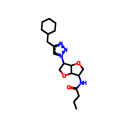 CCCC(=O)NC1COC2C1OCC2n1cc(CC2CCCCC2)nn1